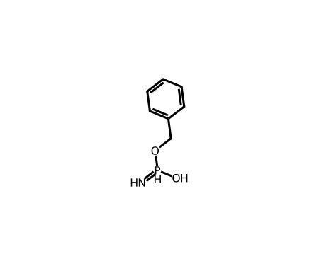 N=[PH](O)OCc1ccccc1